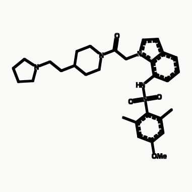 COc1cc(C)c(S(=O)(=O)Nc2cccc3ccn(CC(=O)N4CCC(CCN5CCCC5)CC4)c23)c(C)c1